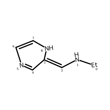 CCN/C=C1/C=NC=CN1